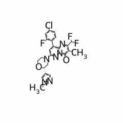 Cc1c(C(F)F)nc2c(-c3ccc(Cl)cc3F)cc(N3CCO[C@@H](c4cnn(C)c4)C3)nn2c1=O